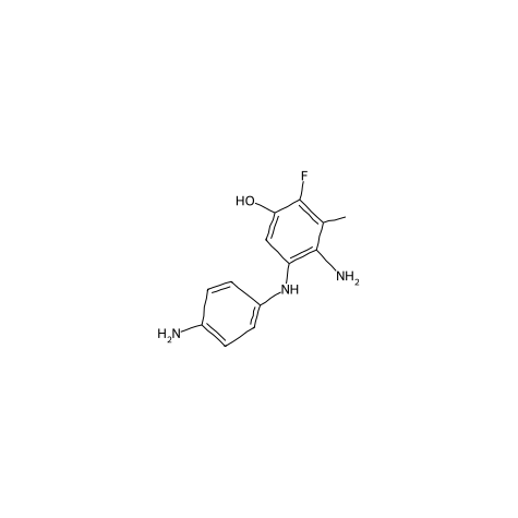 Cc1c(N)c(Nc2ccc(N)cc2)cc(O)c1F